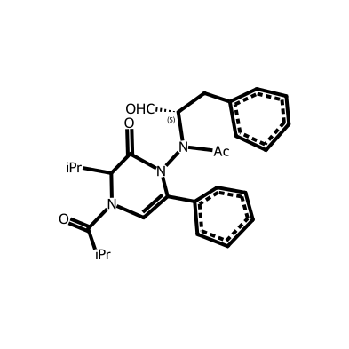 CC(=O)N([C@H](C=O)Cc1ccccc1)N1C(=O)C(C(C)C)N(C(=O)C(C)C)C=C1c1ccccc1